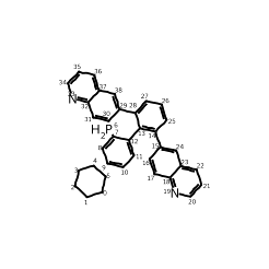 C1CCCCC1.Pc1ccccc1-c1c(-c2ccc3ncccc3c2)cccc1-c1ccc2ncccc2c1